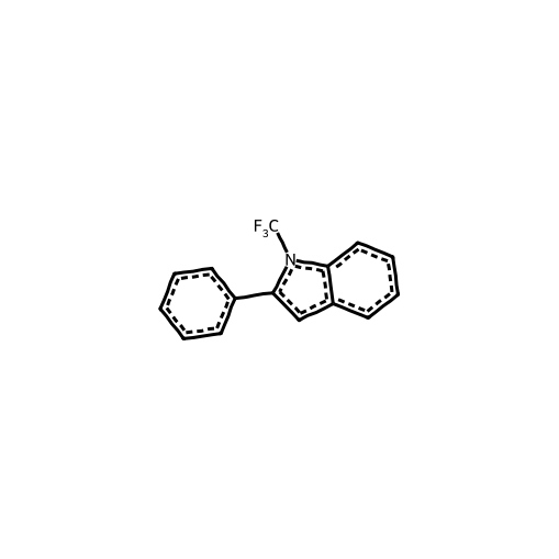 FC(F)(F)n1c(-c2ccccc2)cc2ccccc21